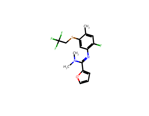 Cc1cc(F)c(/N=C(/c2ccco2)N(C)C)cc1SCC(F)(F)F